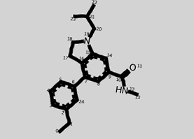 CCc1cccc(-c2cc(C(=O)NC)cc3c2CCN3C[C](C)C)c1